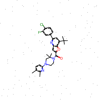 Cc1ccc(N2CCN(C(=O)c3cc4nc(-c5ccc(Cl)c(F)c5)cc(C(C)(C)C)c4o3)C(C)(C)C2)nc1C